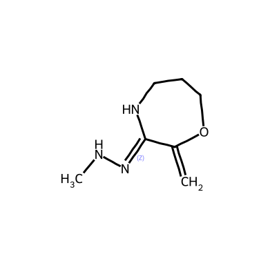 C=C1OCCCN/C1=N\NC